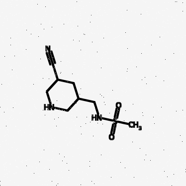 CS(=O)(=O)NCC1CNCC(C#N)C1